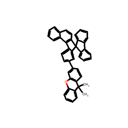 CC1(C)c2ccccc2Oc2cc(-c3ccc4c(c3)C3(c5ccccc5-c5ccccc53)c3ccc5ccccc5c3-4)ccc21